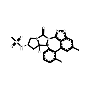 Cc1cc(-c2c(F)cccc2F)c2c(N3C[C@@H]4C[C@H](NS(C)(=O)=O)CN4C3=O)noc2c1